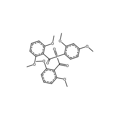 COc1ccc(P(=O)(C(=O)c2c(OC)cccc2OC)C(=O)c2c(OC)cccc2OC)c(OC)c1